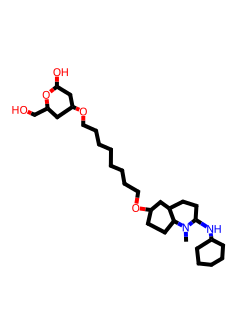 CN1C(NC2CCCCC2)CCC2CC(OCCCCCCCCOC3CC(O)OC(CO)C3)CCC21